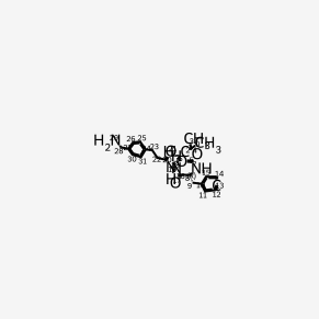 CC(C)(C)OC(=O)N[C@H](Cc1ccccc1)C(=O)NNC(=O)CCc1ccc(CN)cc1